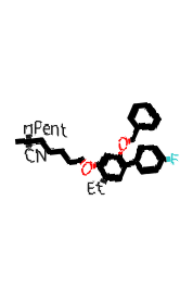 CCCCCC(C)(C#N)CCCCCOc1cc(OCc2ccccc2)c(-c2ccc(F)cc2)cc1CC